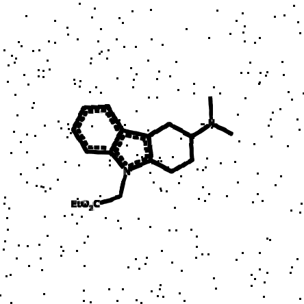 CCOC(=O)Cn1c2c(c3ccccc31)CC(N(C)C)CC2